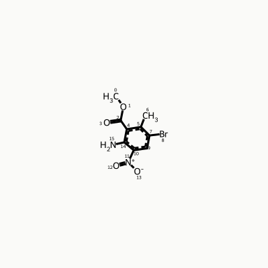 COC(=O)c1c(C)c(Br)cc([N+](=O)[O-])c1N